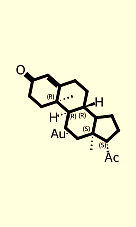 CC(=O)[C@H]1CCC2[C@H]3CCC4=CC(=O)CC[C@]4(C)[C@@H]3CC[C@@]21C.[Au]